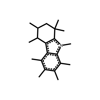 Cc1c(C)c(C)c2c(c1C)c1c(n2C)C(C)(C)CC(C)C1C